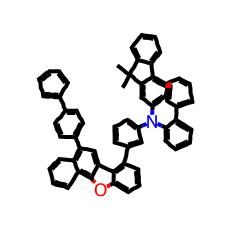 CC1(C)c2ccccc2-c2ccc(N(c3cccc(-c4cccc5oc6c7ccccc7c(-c7ccc(-c8ccccc8)cc7)cc6c45)c3)c3ccccc3-c3ccccc3)cc21